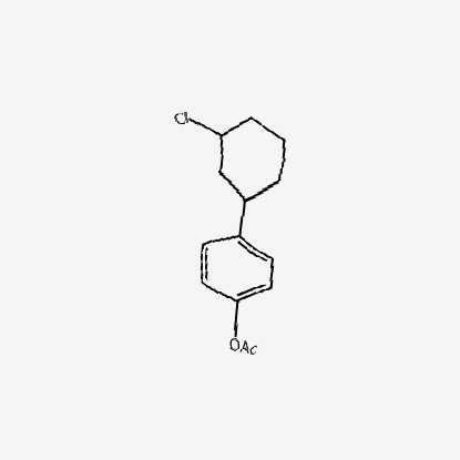 CC(=O)Oc1ccc(C2CCCC(Cl)C2)cc1